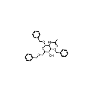 CC(=O)NC1C(OCc2ccccc2)[C@H](O)C(COCc2ccccc2)O[C@H]1OCc1ccccc1